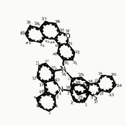 c1ccc(-n2c3ccccc3c3cccc(N(c4ccc5sc6ccccc6c5c4)c4ccc5oc6ccc7ccccc7c6c5c4)c32)cc1